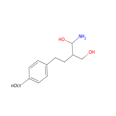 CCCCCCCCc1ccc(CCC(CO)C(N)O)cc1